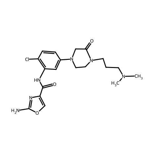 CN(C)CCCN1CCN(c2ccc(Cl)c(NC(=O)c3coc(N)n3)c2)CC1=O